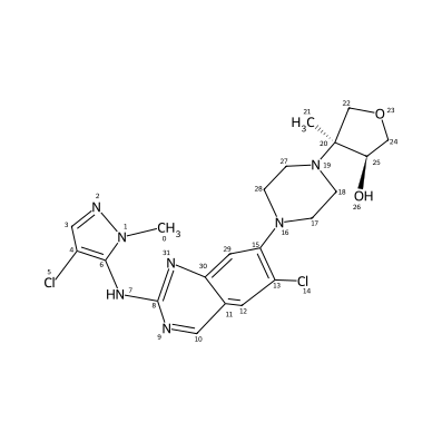 Cn1ncc(Cl)c1Nc1ncc2cc(Cl)c(N3CCN([C@@]4(C)COC[C@H]4O)CC3)cc2n1